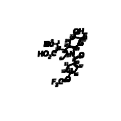 CCC(C)C[C@H](C(=O)O)c1c(C)n(C(=O)c2ccc(OC(F)(F)F)cc2)c2cc(F)c(O)cc12